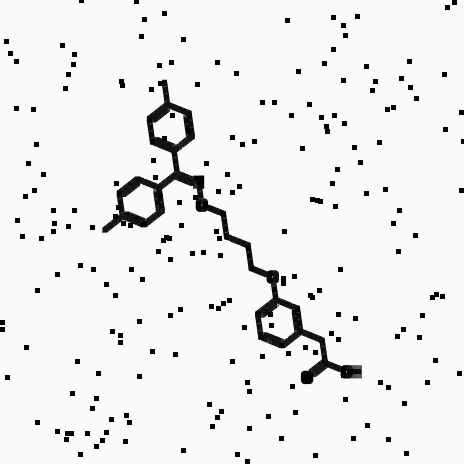 Cc1ccc(C(=NOCCCCOc2cccc(CC(=O)O)c2)c2ccc(C)cc2)cc1